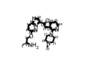 C[C@H](N)COc1ccc2ncc(-c3cc4c(N5CCN(C)CC5)nccc4o3)n2n1